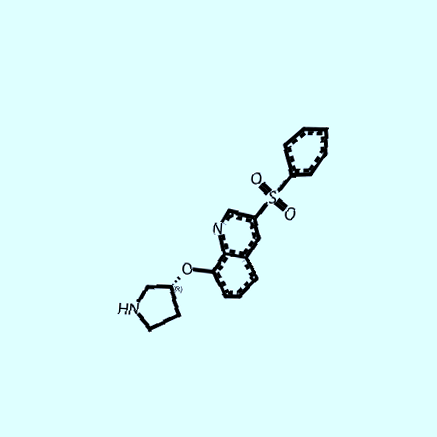 O=S(=O)(c1ccccc1)c1cnc2c(O[C@@H]3CCNC3)cccc2c1